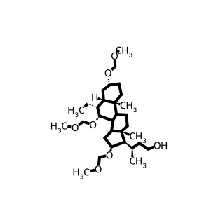 CC[C@H]1[C@@H](OCOC)C2C3C[C@H](OCOC)[C@H]([C@H](C)CCO)[C@@]3(C)CCC2[C@@]2(C)CC[C@@H](OCOC)C[C@@H]12